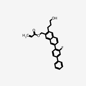 C=CC(=O)OCc1cc2cc(-c3ccc(-c4ccccc4)cc3F)ccc2cc1CCCO